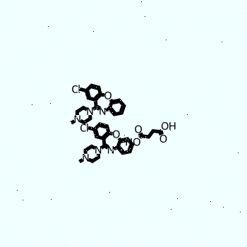 CN1CCN(C2=Nc3ccccc3Oc3ccc(Cl)cc32)CC1.CN1CCN(C2=Nc3ccccc3Oc3ccc(Cl)cc32)CC1.O=C(O)CCC(=O)O